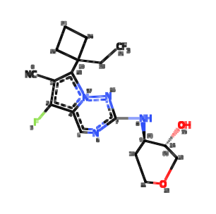 N#Cc1c(F)c2cnc(N[C@@H]3CCOC[C@H]3O)nn2c1C1(CC(F)(F)F)CCC1